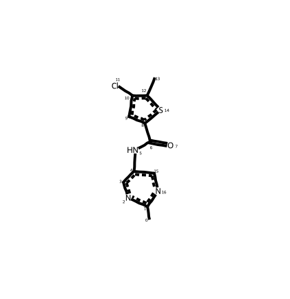 Cc1ncc(NC(=O)c2cc(Cl)c(C)s2)cn1